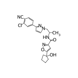 CC(Cn1ccc(-c2ccc(C#N)c(Cl)c2)n1)NC(=O)c1cc(C2(O)CCCC2)on1